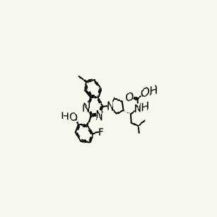 Cc1ccc2c(N3CC[C@H](C(CC(C)C)NC(=O)O)C3)nc(-c3c(O)cccc3F)nc2c1